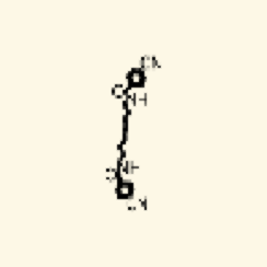 N#Cc1ccc(C(=O)NCCCCCCCCCNC(=O)c2ccc(C#N)cc2)cc1